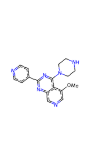 COc1cncc2nc(-c3ccncc3)nc(N3CCNCC3)c12